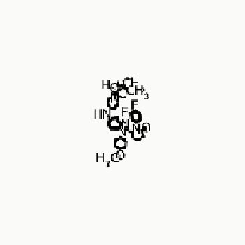 COC1CCC(n2c(C3CCCC(=O)N3c3ccc(F)c(F)c3)nc3cc(NC4CCN(C(=O)OC(C)(C)C)CC4)ccc32)CC1